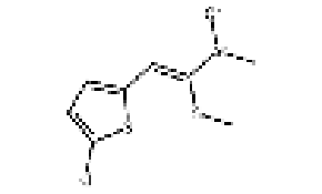 CS/C(=C\c1ccc(Cl)s1)[S+](C)[O-]